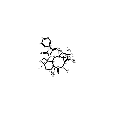 COC(=O)O[C@@]12CO[C@@H]1C[C@H](O)[C@@]1(C)C(=O)[C@H](O)C3=C(C)[C@](C)(O)C[C@@](O)([C@@H](OC(=O)c4ccccc4)C12)C3(C)C